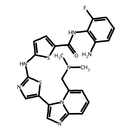 CN(C)Cc1cccc2ncc(-c3cnc(Nc4ccc(C(=O)Nc5c(N)cccc5F)s4)s3)n12